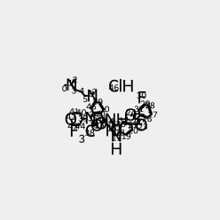 CN(C)CCCN(C)c1ccc(C(=O)Nc2n[nH]c3ccc(S(=O)(=O)c4cccc(F)c4)cc23)c(N(C(=O)C(F)(F)F)C2CCOCC2)c1.Cl